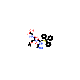 C[C@H](N)C(=O)N[C@@H](CSC(c1ccccc1)(c1ccccc1)c1ccccc1)C(=O)N[C@H](C(=O)NCC(=O)O)[C@@H](C)OC(C)(C)C